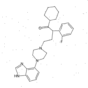 O=C(C1CCCCC1)C(CCN1CCN(c2cccc3[nH]cnc23)CC1)c1ccccc1F